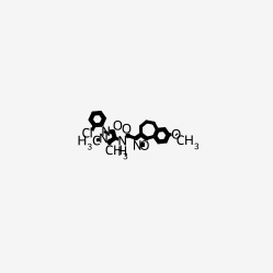 COc1ccc2c(c1)CCCc1c(C(=O)Nc3c(C)n(C)n(-c4ccccc4Cl)c3=O)noc1-2